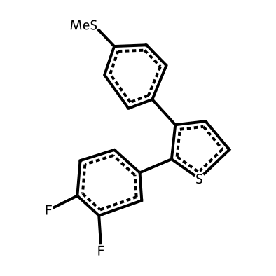 CSc1ccc(-c2ccsc2-c2ccc(F)c(F)c2)cc1